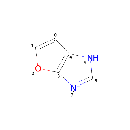 [c]1coc2c1NC=[N+]2